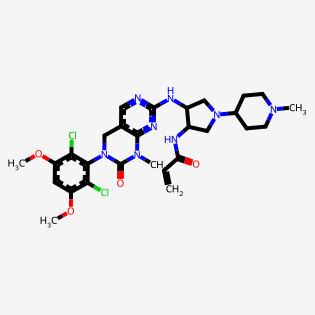 C=CC(=O)NC1CN(C2CCN(C)CC2)CC1Nc1ncc2c(n1)N(C)C(=O)N(c1c(Cl)c(OC)cc(OC)c1Cl)C2